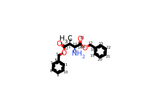 C[C@@H](C(=O)OCc1ccccc1)[C@H](N)C(=O)OCc1ccccc1